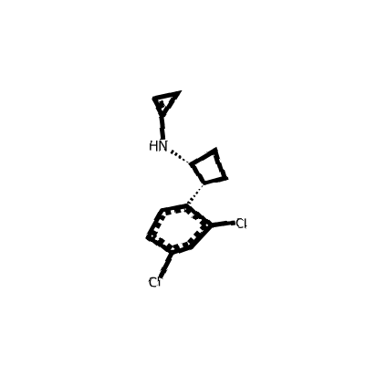 Clc1ccc([C@H]2CC[C@H]2NC2=CC2)c(Cl)c1